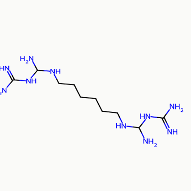 N=C(N)NC(N)NCCCCCCNC(N)NC(=N)N